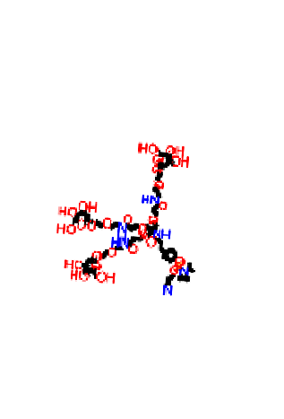 CC(C)N(C(C)C)P(OCCC#N)OC1CCC(CCC(=O)NC(COCCC(=O)NCCOCCO[C@H]2C[C@@H](O)[C@@H](O)[C@@H](CO)O2)(COCCC(=O)NCCOCCO[C@H]2C[C@@H](O)[C@@H](O)[C@@H](CO)O2)COCCC(=O)NCCOCCO[C@H]2C[C@@H](O)[C@@H](O)[C@@H](CO)O2)CC1